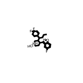 CCCC(C1=CCC(F)(F)C=C1)C1CNCCC1c1noc2ccc(F)cc12.Cl